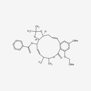 COCOc1cc(OC)cc2c1C(=O)OC(C)C(C(F)(F)F)/C=C\C(OC(=O)c1ccccc1)[C@H]1OC(C)(C)O[C@H]1C/C=C/2